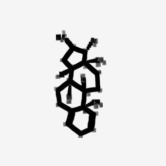 CC(=O)[C@H]1C(C)C[C@H]2[C@@H]3CCC4=CCC=C[C@]4(C)[C@H]3CC[C@]12C